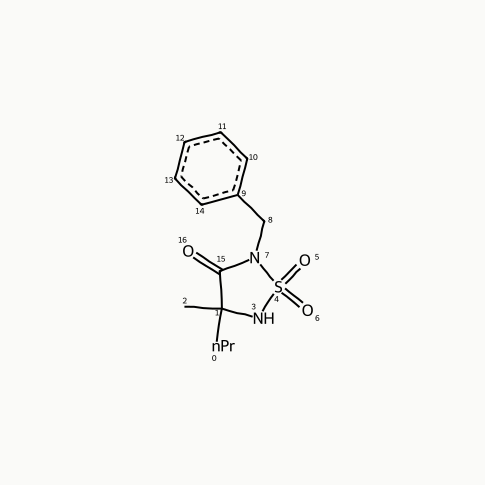 CCCC1(C)NS(=O)(=O)N(Cc2ccccc2)C1=O